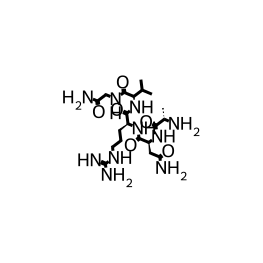 CC(C)[C@H](NC(=O)[C@H](CCCNC(=N)N)NC(=O)[C@H](CC(N)=O)NC(=O)[C@H](C)N)C(=O)NCC(N)=O